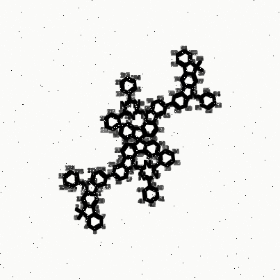 CC1(C)c2ccccc2-c2cc3c4cc(-c5ccc6c(c5)c5ccc7c(c5n6-c5nc(-c6ccccc6)nc(-c6ccccc6)n5)-c5ccccc5C75c6ccccc6-c6c5ccc5c7cc(-c8ccc9c(c8)c8cc%10c(cc8n9-c8ccccc8)C(C)(C)c8ccccc8-%10)ccc7n(-c7nc(-c8ccccc8)nc(-c8ccccc8)n7)c65)ccc4n(-c4ccccc4)c3cc21